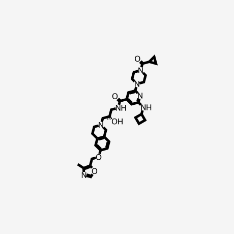 Cc1ncoc1COc1ccc2c(c1)CCN(C[C@@H](O)CNC(=O)c1cc(NC3CCC3)nc(N3CCN(C(=O)C4CC4)CC3)c1)C2